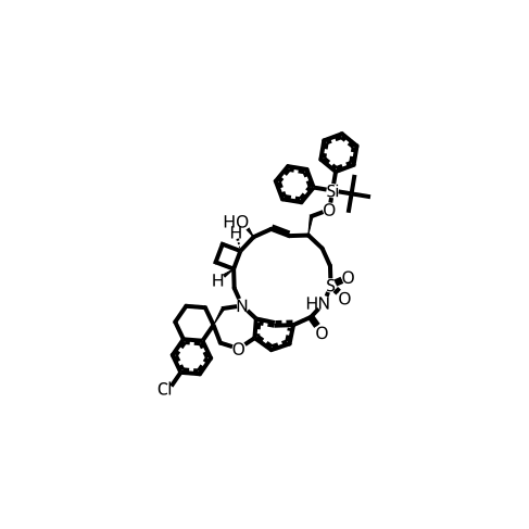 CC(C)(C)[Si](OC[C@@H]1/C=C/[C@H](O)[C@@H]2CC[C@H]2CN2C[C@@]3(CCCc4cc(Cl)ccc43)COc3ccc(cc32)C(=O)NS(=O)(=O)CC1)(c1ccccc1)c1ccccc1